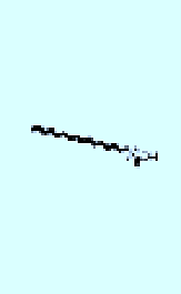 CCCCCCCCCCCCCCCC[N+](C)(C)C(C)O